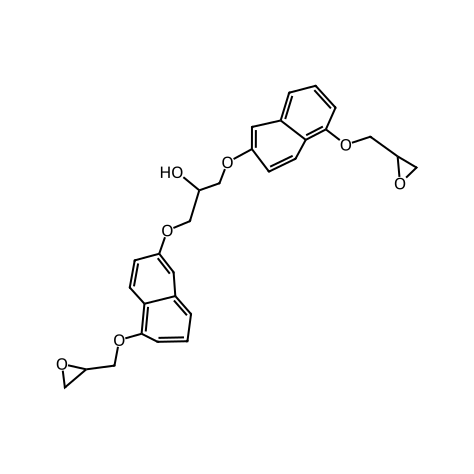 OC(COc1ccc2c(OCC3CO3)cccc2c1)COc1ccc2c(OCC3CO3)cccc2c1